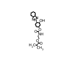 C=C(C)C(=O)OCCNC(=O)Oc1ccc(-n2nc3ccccc3n2)c(O)c1